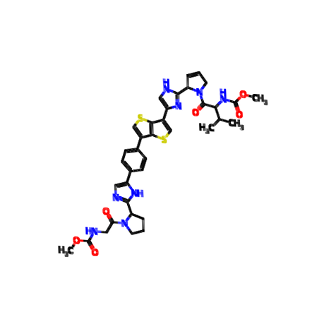 COC(=O)NCC(=O)N1CCCC1c1ncc(-c2ccc(-c3csc4c(-c5c[nH]c(C6C=CCN6C(=O)C(NC(=O)OC)C(C)C)n5)csc34)cc2)[nH]1